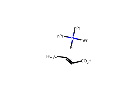 CCC[N+](CC)(CCC)CCC.O=C(O)/C=C/C(=O)O